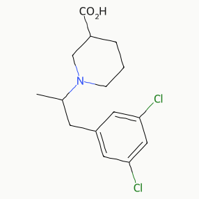 CC(Cc1cc(Cl)cc(Cl)c1)N1CCCC(C(=O)O)C1